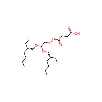 CCCCC(=COC(COOC(=O)CCC(=O)O)OC=C(CC)CCCC)CC